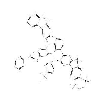 CC(C)(C)c1ccc(N2B3c4cc5nc(-c6ccccc6)sc5cc4-n4c5cc6c(cc5c5ccc(c3c54)-c3cc4c(cc32)-c2cc3c(cc2C4(C)C)C(C)(C)CCC3(C)C)C(C)(C)c2ccccc2-6)cc1